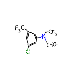 O=[C]N(CC(F)(F)F)c1cc(Cl)cc(C(F)(F)F)c1